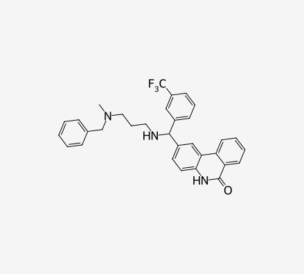 CN(CCCNC(c1cccc(C(F)(F)F)c1)c1ccc2[nH]c(=O)c3ccccc3c2c1)Cc1ccccc1